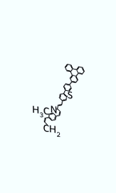 C=C/C=C\c1ccc2ccc(/C=C/c3ccc4c(c3)sc3cc(-c5ccc6c7ccccc7c7ccccc7c6c5)ccc34)nc2c1C